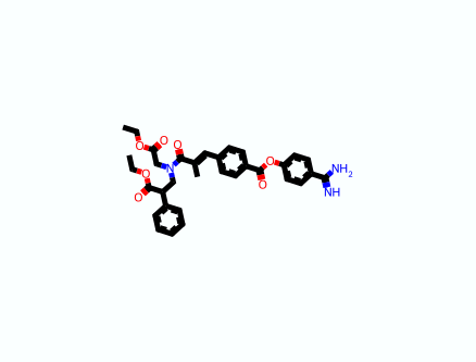 CCOC(=O)CN(CC(C(=O)OCC)c1ccccc1)C(=O)C(C)=Cc1ccc(C(=O)Oc2ccc(C(=N)N)cc2)cc1